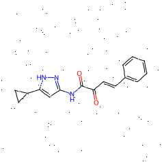 O=C(/C=C/c1ccccc1)C(=O)Nc1cc(C2CC2)[nH]n1